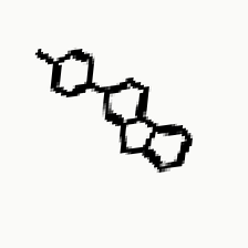 Cc1ccc(-c2ccc3c(c2)Cc2ccccc2-3)cc1